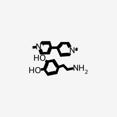 C[n+]1ccc(-c2cc[n+](C)cc2)cc1.NCCc1ccc(O)c(O)c1